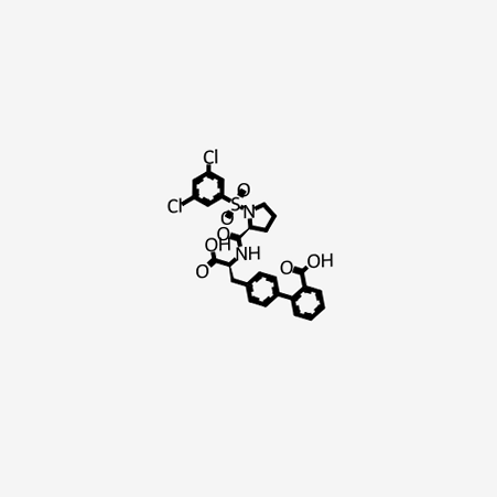 O=C(O)c1ccccc1-c1ccc(C[C@H](NC(=O)[C@@H]2CCCN2S(=O)(=O)c2cc(Cl)cc(Cl)c2)C(=O)O)cc1